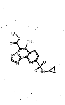 COC(=O)c1c(O)c2ccc(S(=O)(=O)NC3CC3)cc2c2ncnn12